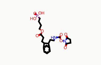 O=C(CCC1c2cccc(c2)C1CCNC(=O)ON1C(=O)CCC1=O)OCCCCP(=O)(O)O